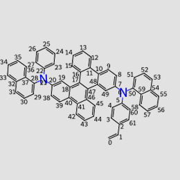 C=Cc1ccc(N(c2ccc3c4ccccc4c4c5cc(N(c6ccccc6)c6cccc7ccccc67)ccc5c5ccccc5c4c3c2)c2cccc3ccccc23)cc1